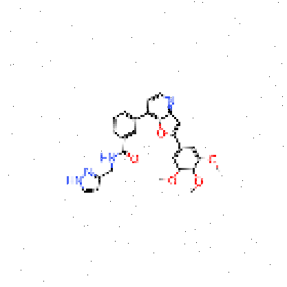 COc1cc(-c2cc3nccc(-c4cccc(C(=O)NCc5cc[nH]n5)c4)c3o2)cc(OC)c1OC